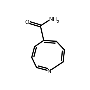 NC(=O)C1=CC=CN=CC=C1